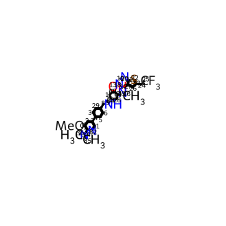 COc1cc(-c2ccc(CN[C@H]3C[C@@H](O)[C@@H](N(C)c4ncnc5sc(CC(F)(F)F)cc45)C3)cc2)cnc1N(C)C